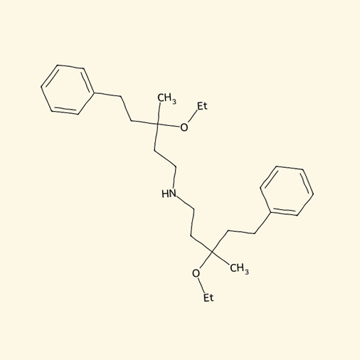 CCOC(C)(CCNCCC(C)(CCc1ccccc1)OCC)CCc1ccccc1